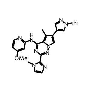 COc1ccnc(Nc2nc(-c3nccn3C)nn3cc(-c4cnn(C(C)C)c4)c(C)c23)c1